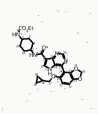 CCOC(=O)NC1CCC(NC(=O)c2c[nH]c3c(-c4c(OCC5CC5)ccc5c4OCO5)ncnc23)CC1